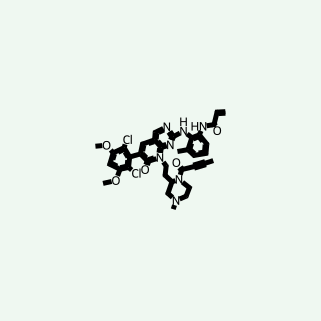 C=CC(=O)Nc1cccc(C)c1Nc1ncc2cc(-c3c(Cl)c(OC)cc(OC)c3Cl)c(=O)n(CCC3CN(C)CCN3C(=O)C#CC)c2n1